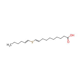 CCCCC=CSC=CCCCCCCCC(=O)O